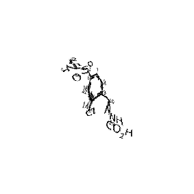 CN(C)S(=O)(=O)c1ccc(C=NNC(=O)O)c(Cl)c1